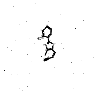 C#C/C=C\c1sc(-c2ccccc2O)nc1C